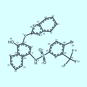 O=S(=O)(Nc1cc(Sc2nc3ccccc3s2)c(O)c2ccccc12)c1ccc(Br)c(C(F)(F)F)c1